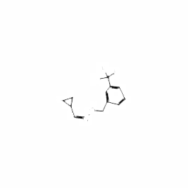 FC(F)(F)c1cccc(CO/N=[C]\C2CC2)c1